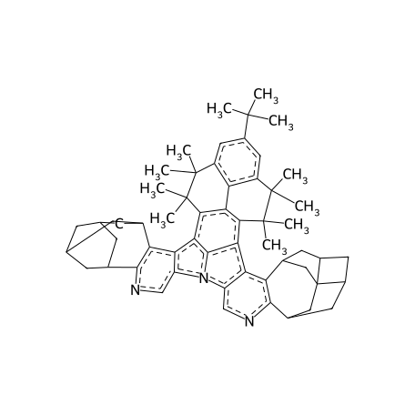 CC(C)(C)c1cc2c3c(c1)C(C)(C)C(C)(C)c1c-3c(c3c4c5c(ncc4n4c6cnc7c(c6c1c34)C1CC3CC4CC7CC43C1)C1CC3CC(C1)CC5C3)C(C)(C)C2(C)C